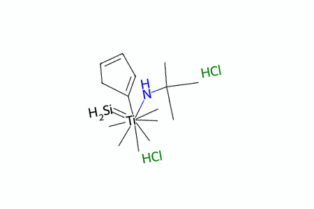 CC(C)(C)[NH][Ti]([CH3])([CH3])([CH3])([CH3])([CH3])([CH3])(=[SiH2])[C]1=CC=CC1.Cl.Cl